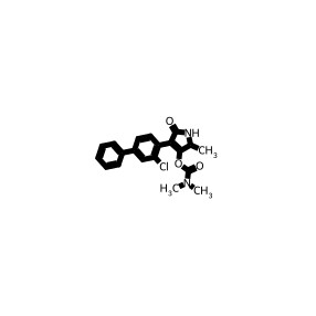 CC1NC(=O)C(c2ccc(-c3ccccc3)cc2Cl)=C1OC(=O)N(C)C